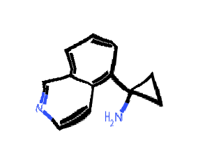 NC1(c2cccc3cnccc23)CC1